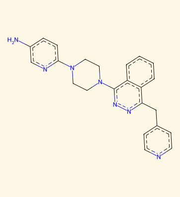 Nc1ccc(N2CCN(c3nnc(Cc4ccncc4)c4ccccc34)CC2)nc1